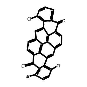 O=c1c2cccc(Cl)c2c2cc3ccc4c(=O)c5c(Br)ccc(Cl)c5c5cc6ccc1c2c6c3c45